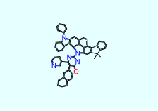 CC1(C)c2ccccc2-c2c1cc1c3c2ccc2cc4c(c5ccccc5n4-c4ccccc4)c(c23)n1-c1nc(-c2cccnc2)c2c(n1)oc1cc3ccccc3cc12